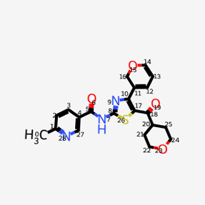 Cc1ccc(C(=O)Nc2nc(C3=CC=COC3)c(C(=O)C3CCOCC3)s2)cn1